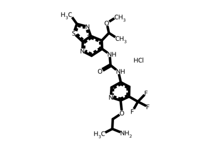 COC(C)c1c(NC(=O)Nc2cnc(OCC(C)N)c(C(F)(F)F)c2)cnc2sc(C)nc12.Cl